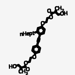 C=C(CO)C(=O)OCCOc1ccc(C#Cc2ccc(OCCOC(=O)C(=C)CO)cc2CCCCCCC)cc1